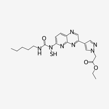 CCCCCNC(=O)N(S)c1ccc2ncc(-c3cnn(CC(=O)OCC)c3)nc2n1